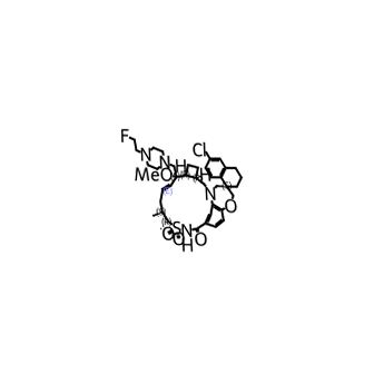 CO[C@]1(CN2CCN(CCF)CC2)/C=C/C[C@H](C)[C@@H](C)S(=O)(=O)NC(=O)c2ccc3c(c2)N(C[C@@H]2CC[C@H]21)C[C@@]1(CCCc2cc(Cl)ccc21)CO3